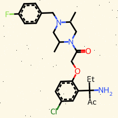 CCC(N)(C(C)=O)c1cc(Cl)ccc1OCC(=O)N1CC(C)N(Cc2ccc(F)cc2)CC1C